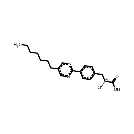 CCCCCCCc1cnc(-c2ccc(C[C@@H](Cl)C(=O)O)cc2)nc1